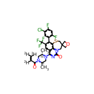 [2H]C([2H])=C([2H])C(=O)N1C[C@H](C)N(c2nc(=O)n3c4c(c(-c5cc(Cl)c(F)cc5F)c(C(F)(F)F)cc24)SCC2(COC2)C3)C[C@H]1C